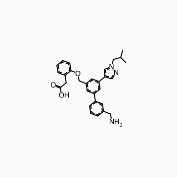 CC(C)Cn1cc(-c2cc(COc3ccccc3CC(=O)O)cc(-c3cccc(CN)c3)c2)cn1